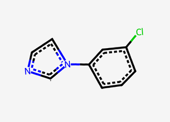 Clc1cccc(-n2[c]ncc2)c1